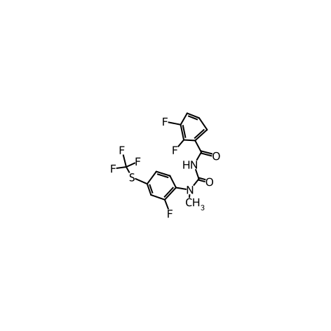 CN(C(=O)NC(=O)c1cccc(F)c1F)c1ccc(SC(F)(F)F)cc1F